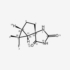 C[C@@]1(F)[C@@H]2CC[C@]3(NC(=O)NC3=O)[C@@H]21